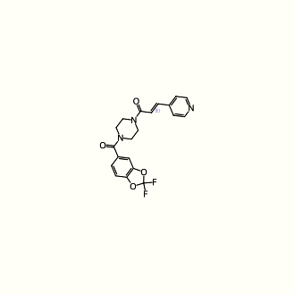 O=C(/C=C/c1ccncc1)N1CCN(C(=O)c2ccc3c(c2)OC(F)(F)O3)CC1